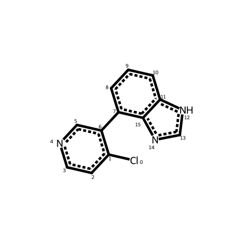 Clc1ccncc1-c1cccc2[nH]cnc12